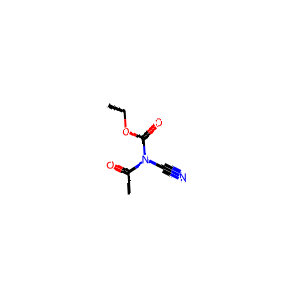 CCOC(=O)N(C#N)C(C)=O